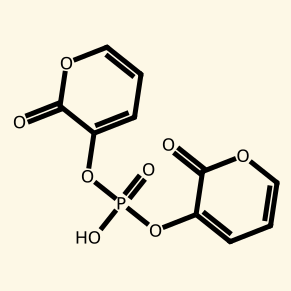 O=c1occcc1OP(=O)(O)Oc1cccoc1=O